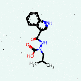 CC(C)CN(NC(=O)c1c[nH]c2ccccc12)C(=O)O